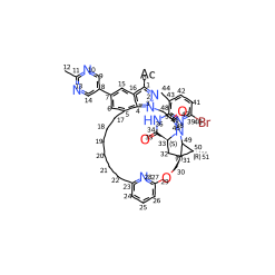 CC(=O)c1nn2c3c(cc(-c4cnc(C)nc4)cc13)CCCCCCc1cccc(n1)OC[C@@]13C[C@@H](C(=O)Nc4nc(Br)ccc4C)N(C(=O)C2)C1[C@@H]3C